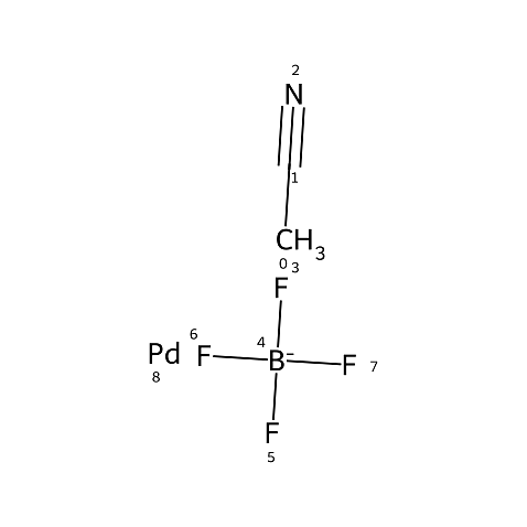 CC#N.F[B-](F)(F)F.[Pd]